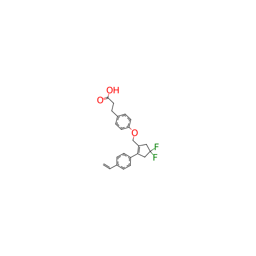 C=Cc1ccc(C2=C(COc3ccc(CCC(=O)O)cc3)CC(F)(F)C2)cc1